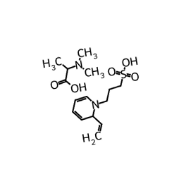 C=CC1C=CC=CN1CCCS(=O)(=O)O.CC(C(=O)O)N(C)C